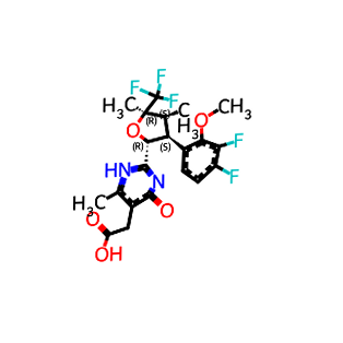 COc1c([C@H]2[C@H](c3nc(=O)c(CC(=O)O)c(C)[nH]3)O[C@@](C)(C(F)(F)F)[C@H]2C)ccc(F)c1F